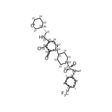 CN(c1ccc(C(F)(F)F)cc1)S(=O)(=O)N1CCC(n2ncc(NC[C@H]3CCCOC3)c(Cl)c2=O)CC1